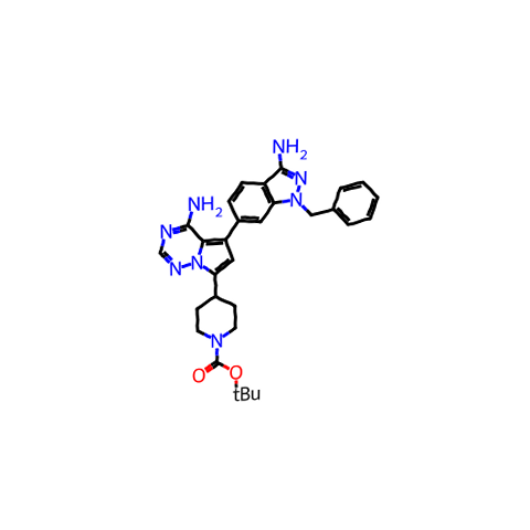 CC(C)(C)OC(=O)N1CCC(c2cc(-c3ccc4c(N)nn(Cc5ccccc5)c4c3)c3c(N)ncnn23)CC1